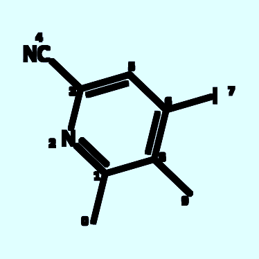 Cc1nc(C#N)cc(I)c1C